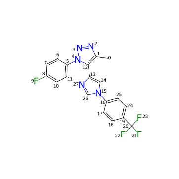 Cc1nnn(-c2ccc(F)cc2)c1-c1cn(-c2ccc(C(F)(F)F)cc2)cn1